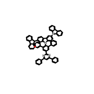 c1ccc(-c2cc(-c3ccccc3)nc(-c3cc(-c4ccccc4)c(-n4c5ccc(-n6c7ccccc7c7ccccc76)cc5c5ccc(C6c7ccccc7-c7ccccc76)cc54)c(-c4ccccc4)c3)n2)cc1